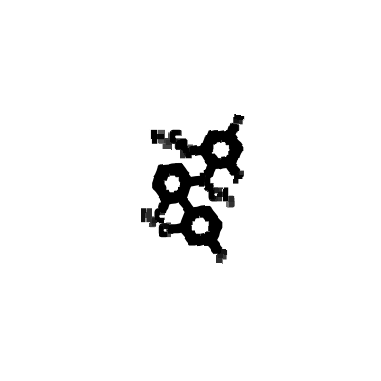 C=Nc1cc(F)cc(F)c1N(C)c1cccc(C)c1-c1ccc(F)cc1Cl